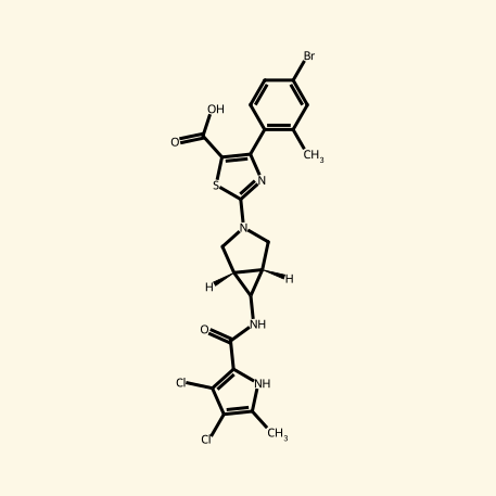 Cc1cc(Br)ccc1-c1nc(N2C[C@@H]3C(NC(=O)c4[nH]c(C)c(Cl)c4Cl)[C@@H]3C2)sc1C(=O)O